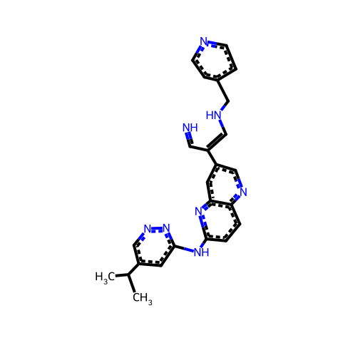 CC(C)c1cnnc(Nc2ccc3ncc(/C(C=N)=C/NCc4ccncc4)cc3n2)c1